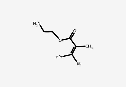 CCCC(CC)=C(C)C(=O)OCCN